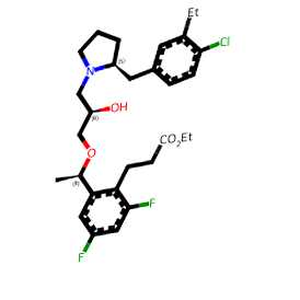 CCOC(=O)CCc1c(F)cc(F)cc1[C@@H](C)OC[C@H](O)CN1CCC[C@H]1Cc1ccc(Cl)c(CC)c1